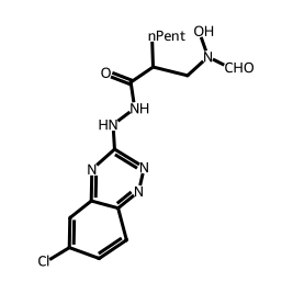 CCCCCC(CN(O)C=O)C(=O)NNc1nnc2ccc(Cl)cc2n1